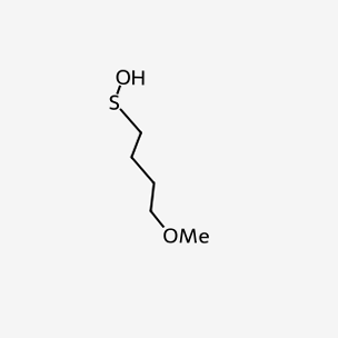 COCCCCSO